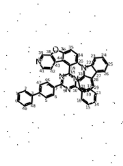 c1ccc(-c2ccc(-c3nc(-c4ccccc4)nc(-c4c(-n5c6ccccc6c6ccccc65)ccc5oc6cnccc6c45)n3)cc2)cc1